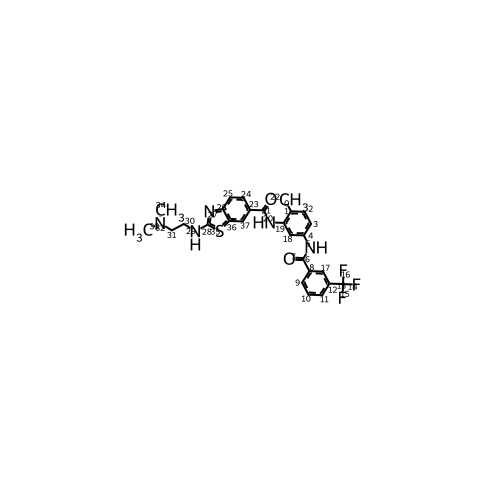 Cc1ccc(NC(=O)c2cccc(C(F)(F)F)c2)cc1NC(=O)c1ccc2nc(NCCN(C)C)sc2c1